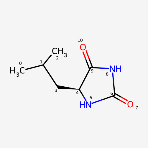 CC(C)C[C@@H]1NC(=O)NC1=O